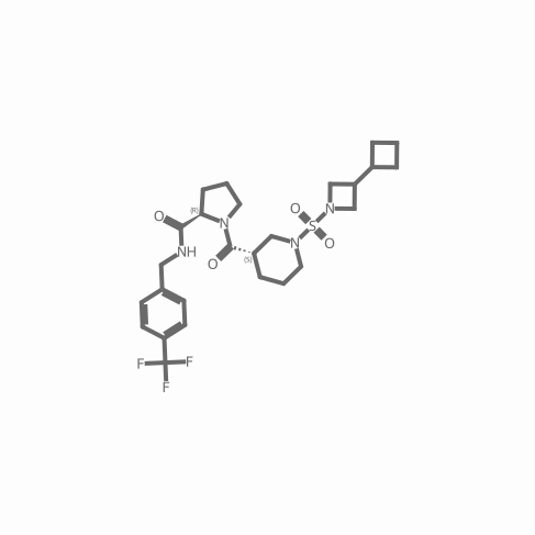 O=C(NCc1ccc(C(F)(F)F)cc1)[C@H]1CCCN1C(=O)[C@H]1CCCN(S(=O)(=O)N2CC(C3CCC3)C2)C1